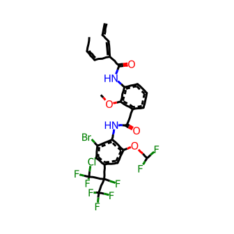 C=C/C=C(\C=C/C)C(=O)Nc1cccc(C(=O)Nc2c(Br)cc(C(F)(C(F)(F)F)C(F)(F)Cl)cc2OC(F)F)c1OC